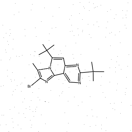 Cc1c(Br)nc2c3cnc(C(C)(C)C)nc3cc(C(C)(C)C)n12